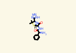 CC1(C)S[C@@H]2C(NC(=O)C(N)c3ccccc3)C(=O)N2C1c1nnn[nH]1